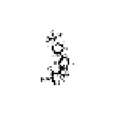 CCN(CC)C(=O)c1c(C)nn2ccc(C3CCN(S(C)(=O)=O)CC3)cc12